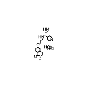 CNCCC(NCCCOc1ccc2c(c1)CCNC2=O)c1ccncc1.Cl.Cl.Cl